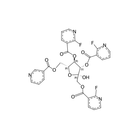 O=C(OC[C@H]1O[C@](O)(COC(=O)c2cccnc2F)[C@@H](OC(=O)c2cccnc2F)[C@@H]1OC(=O)c1cccnc1F)c1cccnc1